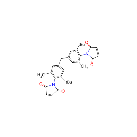 Cc1cc(Cc2cc(C)c(N3C(=O)C=CC3=O)c(C(C)(C)C)c2)cc(C(C)(C)C)c1N1C(=O)C=CC1=O